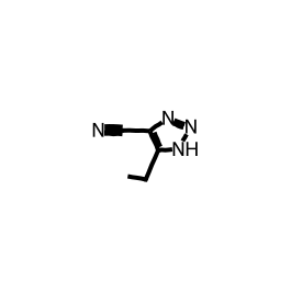 CCc1[nH]nnc1C#N